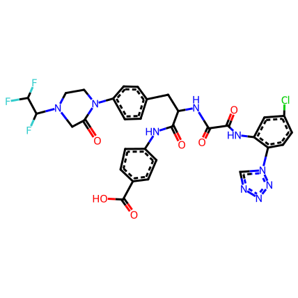 O=C(Nc1cc(Cl)ccc1-n1cnnn1)C(=O)NC(Cc1ccc(N2CCN(C(F)C(F)F)CC2=O)cc1)C(=O)Nc1ccc(C(=O)O)cc1